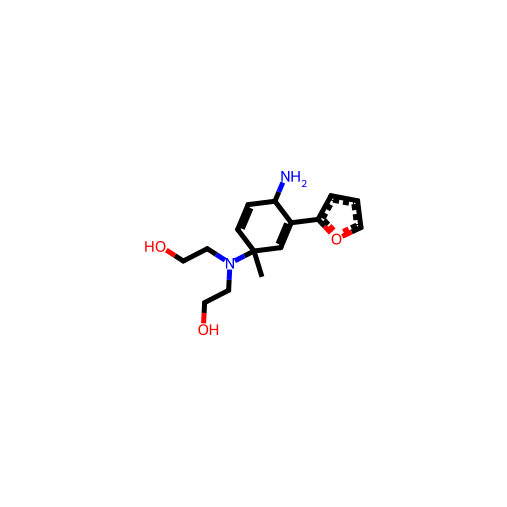 CC1(N(CCO)CCO)C=CC(N)C(c2ccco2)=C1